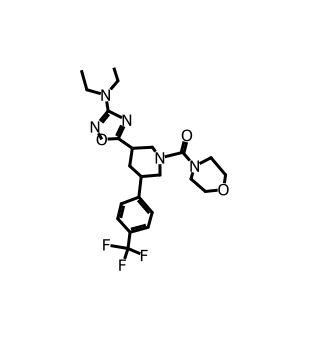 CCN(CC)c1noc(C2CC(c3ccc(C(F)(F)F)cc3)CN(C(=O)N3CCOCC3)C2)n1